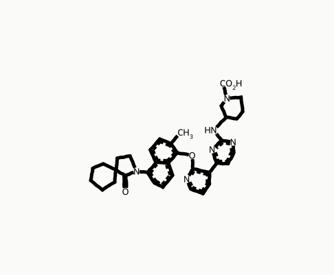 Cc1ccc2c(N3CCC4(CCCCC4)C3=O)cccc2c1Oc1ncccc1-c1ccnc(NC2CCCN(C(=O)O)C2)n1